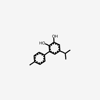 Cc1ccc(-c2cc(C(C)C)cc(O)c2O)cc1